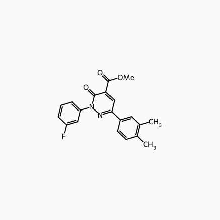 COC(=O)c1cc(-c2ccc(C)c(C)c2)nn(-c2cccc(F)c2)c1=O